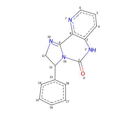 O=C1Nc2cccnc2C2=NCC(c3ccccc3)N12